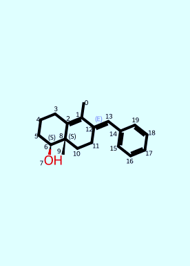 CC1=C2CCC[C@H](O)[C@@]2(C)CC/C1=C\c1ccccc1